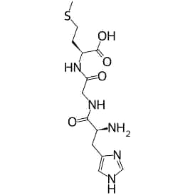 CSCC[C@H](NC(=O)CNC(=O)[C@@H](N)Cc1c[nH]cn1)C(=O)O